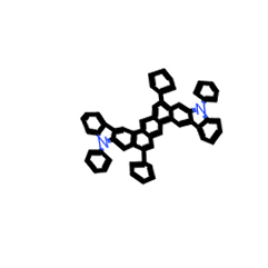 c1ccc(-c2cc3cc4c(cc(-c5ccccc5)c5cc6c(cc54)c4ccccc4n6-c4ccccc4)cc3c3cc4c5ccccc5n(-c5ccccc5)c4cc23)cc1